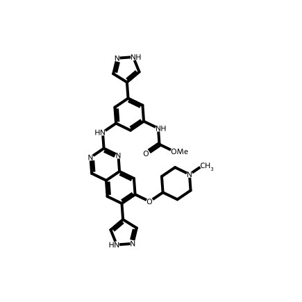 COC(=O)Nc1cc(Nc2ncc3cc(-c4cn[nH]c4)c(OC4CCN(C)CC4)cc3n2)cc(-c2cn[nH]c2)c1